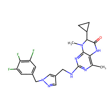 Cc1nc(NCc2cnn(Cc3cc(F)c(F)c(F)c3)c2)nc2c1NC(=O)C(C1CC1)N2C